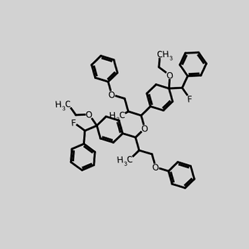 CCOC1(C(F)c2ccccc2)C=CC(C(OC(C2=CCC(OCC)(C(F)c3ccccc3)C=C2)C(C)COc2ccccc2)C(C)COc2ccccc2)=CC1